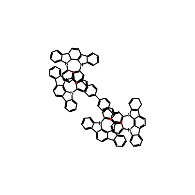 C1=Cc2c(c3ccc4c5ccccc5n(-c5ccccc5)c4c3n2-c2cc(-c3ccc(-c4ccc(-c5cc(-n6c7c(c8ccccc86)C=CC6c8ccccc8N(c8ccccc8)C76)cc(-n6c7ccccc7c7ccc8c9ccccc9n(-c9ccccc9)c8c76)c5)cc4)cc3)cc(-n3c4ccccc4c4ccc5c6ccccc6n(-c6ccccc6)c5c43)c2)CC1